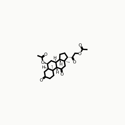 CC(=O)OCC(=O)[C@H]1CC[C@H]2[C@@H]3C[C@H](OC(C)=O)[C@@H]4CC(=O)CC[C@]4(C)[C@H]3C(=O)C[C@]12C